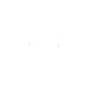 N#CNc1cccc(-c2nc3nc(-c4cccc(NC#N)c4)sc3s2)c1